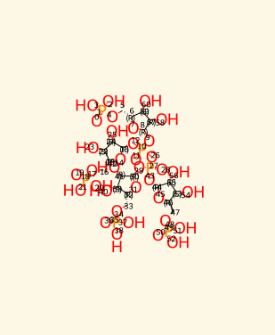 O=P(O)(O)OC[C@H]1O[C@H](OP(=O)(O[C@H]2O[C@H](COP(=O)(O)O)[C@@H](O)[C@H]2O)OP(=O)(O[C@H]2O[C@H](COP(=O)(O)O)[C@@H](O)[C@H]2O)O[C@H]2O[C@H](COP(=O)(O)O)[C@@H](O)[C@H]2O)[C@H](O)[C@@H]1O